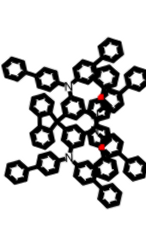 c1ccc(-c2ccc(N(c3ccc(-c4ccccc4)cc3)c3cc(N(c4ccc(-c5ccccc5)cc4)c4ccc(-c5ccccc5)cc4)cc(C4(c5cc(N(c6ccc(-c7ccccc7)cc6)c6ccc(-c7ccccc7)cc6)cc(N(c6ccc(-c7ccccc7)cc6)c6ccc(-c7ccccc7)cc6)c5)c5ccccc5-c5ccccc54)c3)cc2)cc1